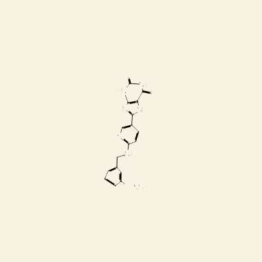 COc1cccc(CNc2ccc(-c3nc4[nH]c(=O)[nH]c(=O)c4[nH]3)cn2)c1